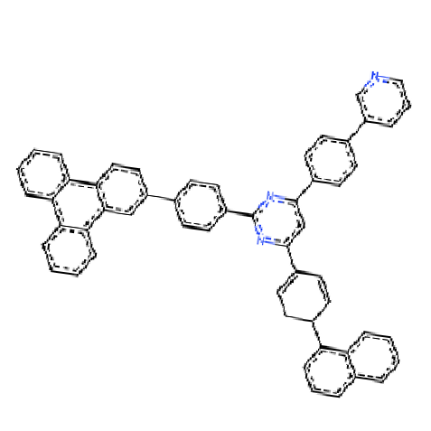 C1=CC(c2cccc3ccccc23)CC=C1c1cc(-c2ccc(-c3cccnc3)cc2)nc(-c2ccc(-c3ccc4c5ccccc5c5ccccc5c4c3)cc2)n1